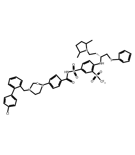 CC1CCC(C)N1CC[C@H](CSc1ccccc1)Nc1ccc(S(=O)(=O)NC(=O)c2ccc(N3CCN(Cc4ccccc4-c4ccc(Cl)cc4)CC3)cc2)cc1S(=O)(=O)C(F)(F)F